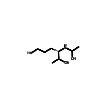 CC(O)N[C@@H](CCCO)C(C)O